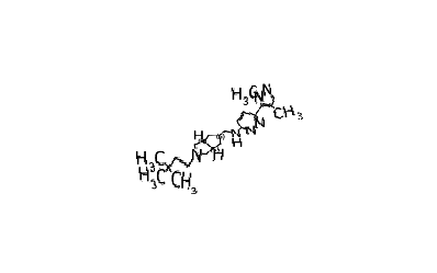 Cc1cnn(C)c1-c1ccc(NC[C@H]2C[C@@H]3CN(CCC(C)(C)C)C[C@@H]3C2)nn1